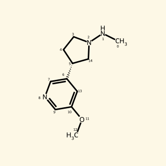 CNN1CC[C@@H](c2cncc(OC)c2)C1